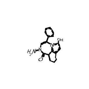 NN1C=C(c2ccccc2)n2c(O)cc3c2C(=CCC3)C1=O